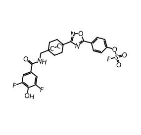 O=C(NCC12CCC(c3noc(-c4ccc(OS(=O)(=O)F)cc4)n3)(CC1)CC2)c1cc(F)c(O)c(F)c1